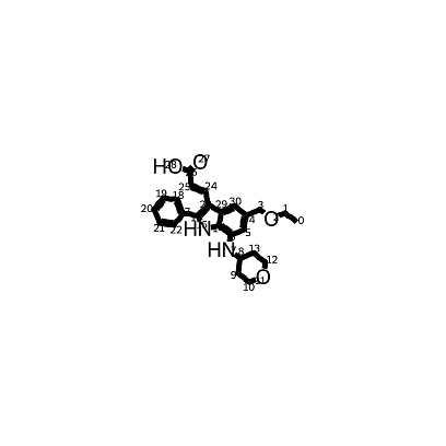 CCOCc1cc(NC2CCOCC2)c2[nH]c(-c3ccccc3)c(/C=C/C(=O)O)c2c1